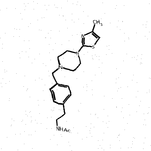 CC(=O)NCCc1ccc(CN2CCN(c3nc(C)cs3)CC2)cc1